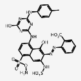 Cc1ccc(Nc2nc(O)nc(Nc3ccc(S(=O)(=O)ON)c4cc(NS(=O)(=O)O)c(N=Nc5ccccc5C(=O)O)c(O)c34)n2)cc1